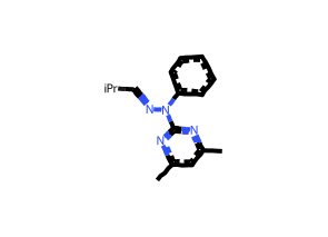 Cc1cc(C)nc(N(N=CC(C)C)c2ccccc2)n1